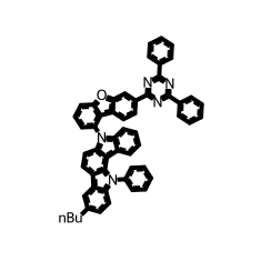 CCCCc1ccc2c(c1)c1ccc3c(c4ccccc4n3-c3cccc4oc5cc(-c6nc(-c7ccccc7)nc(-c7ccccc7)n6)ccc5c34)c1n2-c1ccccc1